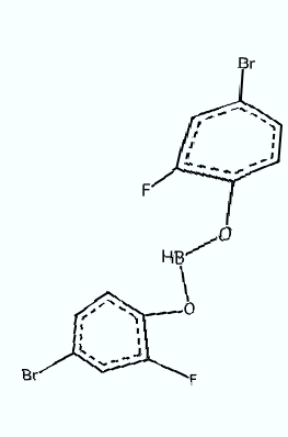 Fc1cc(Br)ccc1OBOc1ccc(Br)cc1F